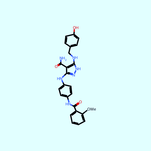 COc1ccccc1C(=O)Nc1ccc(Nc2n[nH]c(NCc3ccc(O)cc3)c2C(N)=O)cc1